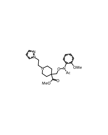 COC(=O)C1(CON(C(C)=O)c2ccccc2OC)CCN(CCn2cccn2)CC1